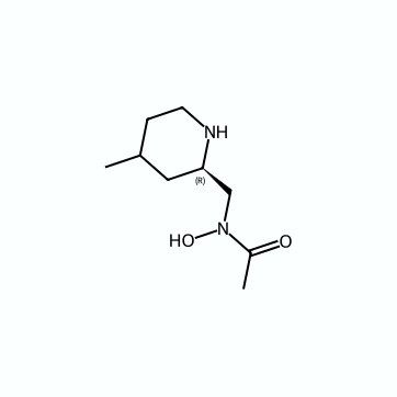 CC(=O)N(O)C[C@H]1CC(C)CCN1